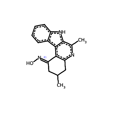 Cc1nc2c(c3c1[nH]c1ccccc13)/C(=N/O)CC(C)C2